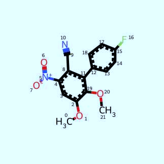 COc1cc([N+](=O)[O-])c(C#N)c(-c2ccc(F)cc2)c1OC